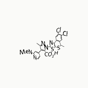 CNc1cc(-c2c(C)nn(-c3nc4c(s3)SC(C)c3cc(Cl)c(Cl)cc3-4)c2C(=O)O)ccn1